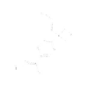 COCC1(c2ccc(/C(N)=N/O)cc2)CCC1